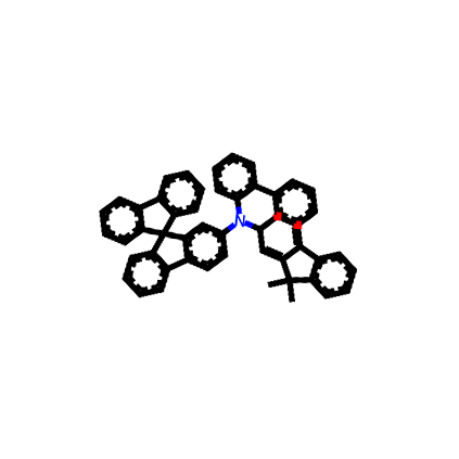 CC1(C)C2=CC(N(c3ccc4c(c3)C3(c5ccccc5-c5ccccc53)c3ccccc3-4)c3ccccc3-c3ccccc3)CC=C2c2ccccc21